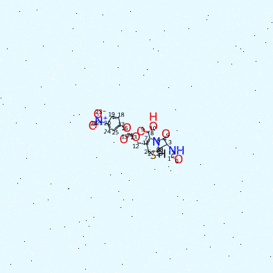 O=CNC1C(=O)N2C(C(=O)O)=C(COC(=O)Oc3ccc([N+](=O)[O-])cc3)CS[C@@H]12